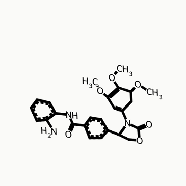 COC1=C(OC)C(OC)CC(N2C(=O)OCC2c2ccc(C(=O)Nc3ccccc3N)cc2)=C1